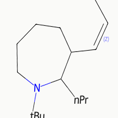 C/C=C\C1CCCCN(C(C)(C)C)C1CCC